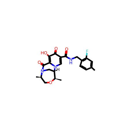 Cc1ccc(CNC(=O)c2cn3c(c(O)c2=O)C(=O)N2C[C@@H]3[C@@H](C)OC[C@H]2C)c(F)c1